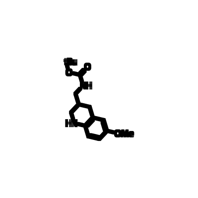 COc1ccc2c(c1)CC(CNC(=O)OC(C)(C)C)CN2